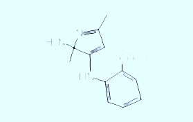 CC1=NC(C)(N)C(Nc2ccccc2C(=O)O)=C1